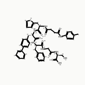 Cc1ccc(NC(=O)CCC(=O)N[C@H](Cc2cccs2)C(=O)N[C@@H](Cc2ccc(-c3ccccc3)cc2)C(=O)N[C@H](Cc2ccccc2)C(=O)NCC(=O)N[C@@H](CO)C(=O)O)cc1